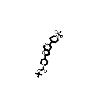 CC(C)(C)OC(=O)N1CCC(c2cc3cc(C4=CCN(S(C)(=O)=O)CC4)ncc3o2)CC1